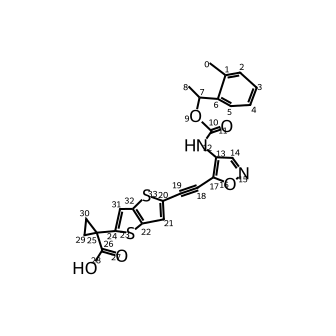 Cc1ccccc1C(C)OC(=O)Nc1cnoc1C#Cc1cc2sc(C3(C(=O)O)CC3)cc2s1